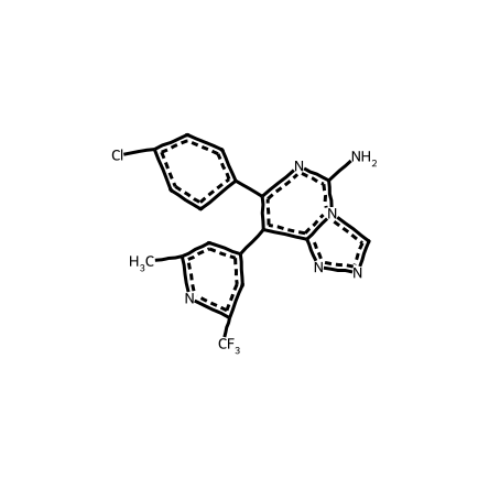 Cc1cc(-c2c(-c3ccc(Cl)cc3)nc(N)n3cnnc23)cc(C(F)(F)F)n1